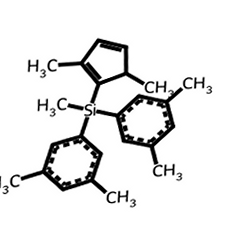 CC1=C([Si](C)(c2cc(C)cc(C)c2)c2cc(C)cc(C)c2)C(C)C=C1